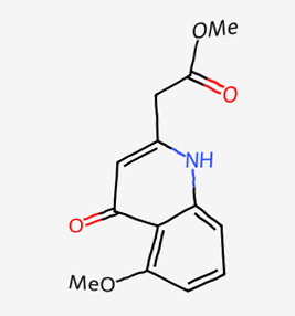 COC(=O)Cc1cc(=O)c2c(OC)cccc2[nH]1